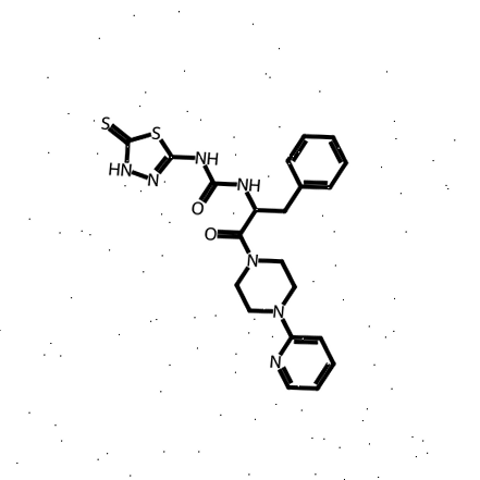 O=C(Nc1n[nH]c(=S)s1)NC(Cc1ccccc1)C(=O)N1CCN(c2ccccn2)CC1